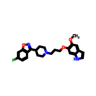 COc1cc2cc[nH]c2cc1OCCCN1CCC(c2noc3cc(F)ccc23)CC1